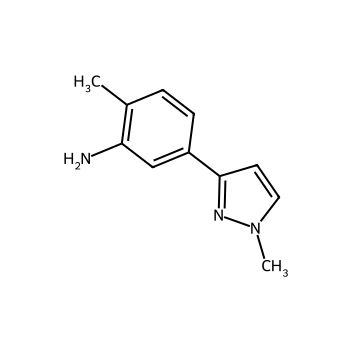 Cc1ccc(-c2ccn(C)n2)cc1N